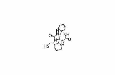 O=C1NC2(c3ccccc3)NC(=O)N(CCS)C2(c2ccccc2)N1